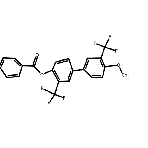 COc1ccc(-c2ccc(OC(=O)c3ccccc3)c(C(F)(F)F)c2)cc1C(F)(F)F